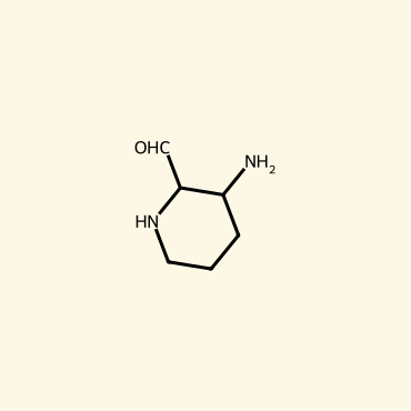 NC1CCCNC1C=O